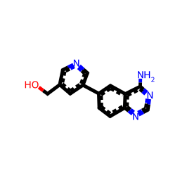 Nc1ncnc2ccc(-c3cncc(CO)c3)cc12